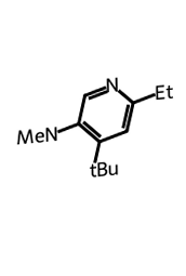 CCc1cc(C(C)(C)C)c(NC)cn1